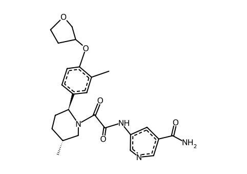 Cc1cc([C@@H]2CC[C@@H](C)CN2C(=O)C(=O)Nc2cncc(C(N)=O)c2)ccc1OC1CCOC1